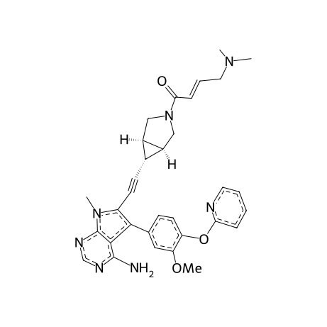 COc1cc(-c2c(C#C[C@@H]3[C@H]4CN(C(=O)/C=C/CN(C)C)C[C@@H]34)n(C)c3ncnc(N)c23)ccc1Oc1ccccn1